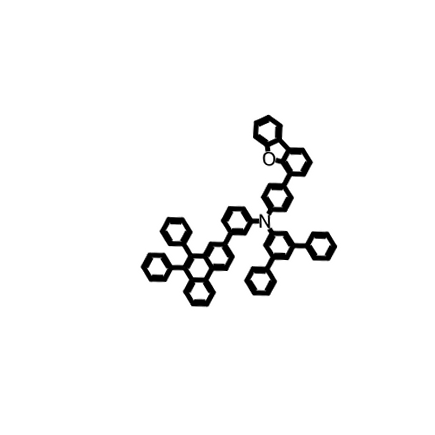 c1ccc(-c2cc(-c3ccccc3)cc(N(c3ccc(-c4cccc5c4oc4ccccc45)cc3)c3cccc(-c4ccc5c(c4)c(-c4ccccc4)c(-c4ccccc4)c4ccccc45)c3)c2)cc1